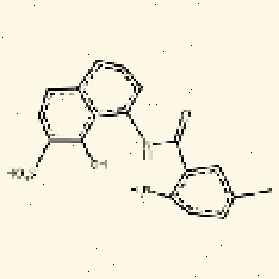 Cc1ccc(N)c(C(=O)Nc2cccc3ccc(S(=O)(=O)O)c(O)c23)c1